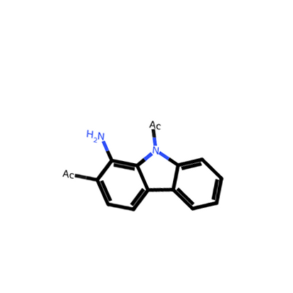 CC(=O)c1ccc2c3ccccc3n(C(C)=O)c2c1N